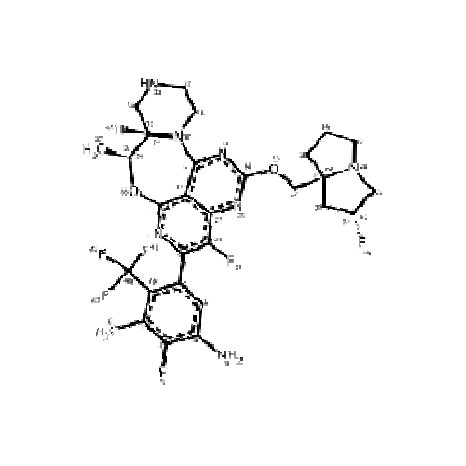 Cc1c(F)c(N)cc(-c2nc3c4c(nc(OC[C@@]56CCCN5C[C@H](F)C6)nc4c2F)N2CCNC[C@H]2[C@H](C)O3)c1C(F)(F)F